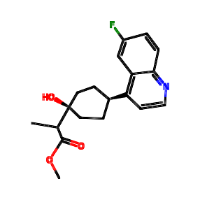 COC(=O)C(C)[C@]1(O)CC[C@@H](c2ccnc3ccc(F)cc32)CC1